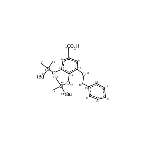 CC(C)(C)[Si](C)(C)Oc1cc(C(=O)O)cc(OCc2ccccc2)c1O[Si](C)(C)C(C)(C)C